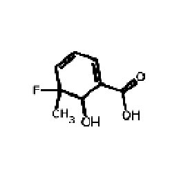 CC1(F)C=CC=C(C(=O)O)C1O